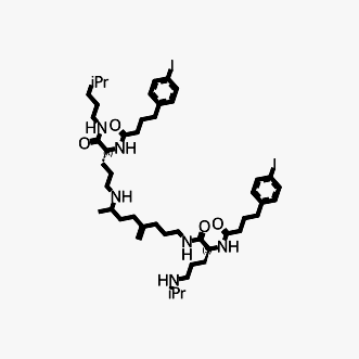 C=C(CCCNC(=O)[C@H](CCCNC(C)C)NC(=O)CCCc1ccc(I)cc1)CCC(C)NCCC[C@@H](NC(=O)CCCc1ccc(I)cc1)C(=O)NCCCC(C)C